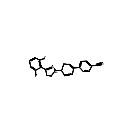 N#Cc1ccc(C2=CCC([C@H]3CCC(c4c(F)cccc4F)=N3)C=C2)cc1